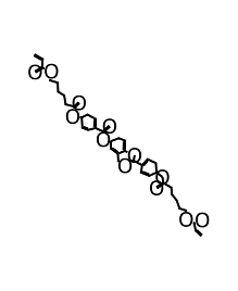 C=CC(=O)OCCCCCC(=O)OC1C=CC(C(=O)OC2=CCC(OC(=O)C3=CCC(OC(=O)CCCCCOC(=O)C=C)C=C3)C=C2C)=CC1